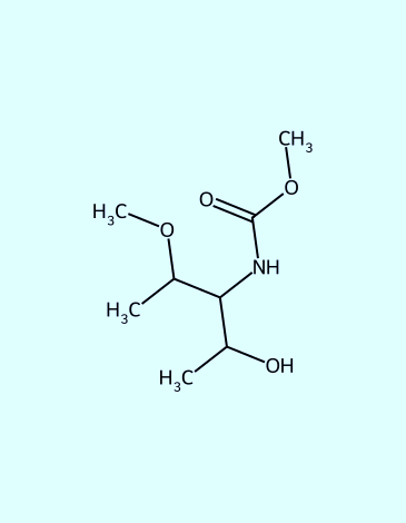 COC(=O)NC(C(C)O)C(C)OC